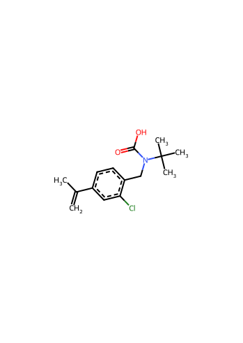 C=C(C)c1ccc(CN(C(=O)O)C(C)(C)C)c(Cl)c1